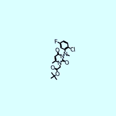 Cc1cc(=O)n(N(C)c2cc(F)ccc2Cl)c(=O)n1CC(=O)OC(C)(C)C